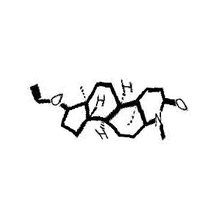 C=COC1CC[C@H]2[C@@H]3CCC4N(C)C(=O)C=C[C@]4(C)[C@@H]3CC[C@]12C